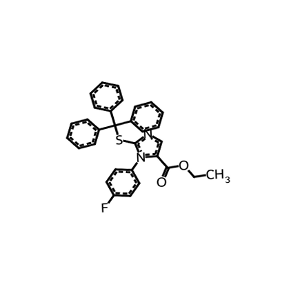 CCOC(=O)c1cnc(SC(c2ccccc2)(c2ccccc2)c2ccccc2)n1-c1ccc(F)cc1